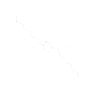 CCCCCCCCC(NCC)c1ccc(C(CCCCCCCC)NCC)cc1